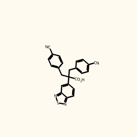 N#Cc1ccc(CC(Cc2ccc(C#N)cc2)(C(=O)O)c2ccc3nsnc3c2)cc1